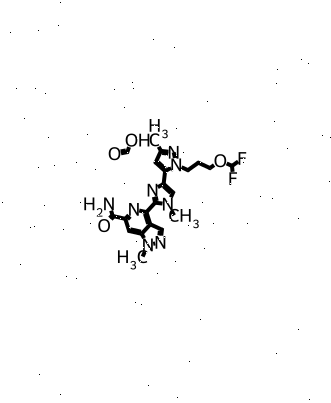 Cc1cc(-c2cn(C)c(-c3nc(C(N)=O)cc4c3cnn4C)n2)n(CCCOC(F)F)n1.O=CO